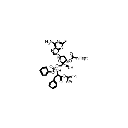 C#C[C@]1(CO[P@@](=O)(NC(Cc2ccccc2)C(=O)OC(CCC)CCC)Oc2ccccc2)O[C@@H](n2cnc3c(N)nc(F)nc32)C[C@@H]1OC(=O)CCCCCCC